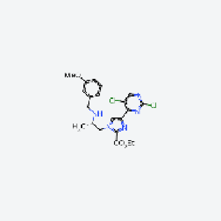 CCOC(=O)c1nc(-c2nc(Cl)ncc2Cl)cn1C[C@H](C)NCc1cccc(OC)c1